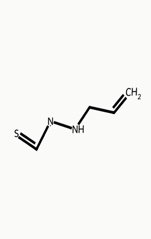 C=CCN[N]C=S